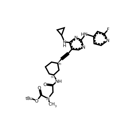 CN(CC(=O)N[C@H]1CCC[C@@H](C#Cc2cnc(Nc3ccnc(F)c3)nc2NC2CC2)C1)C(=O)OC(C)(C)C